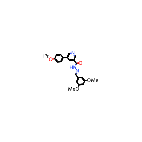 COc1cc(C=NNC(=O)c2cncc(-c3ccc(OC(C)C)cc3)c2)cc(OC)c1